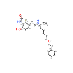 C[C@H](CCCCCOCCc1ccccc1)NCCc1ccc(O)c2[nH]c(=O)sc12